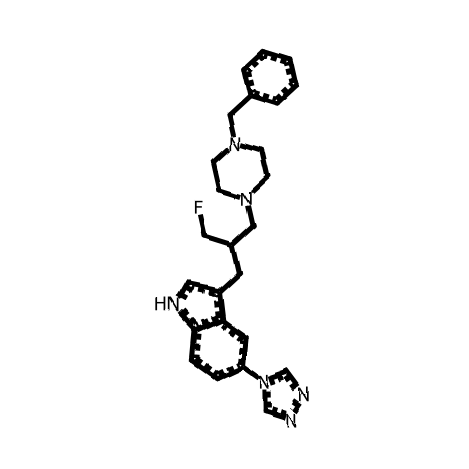 FCC(Cc1c[nH]c2ccc(-n3cnnc3)cc12)CN1CCN(Cc2ccccc2)CC1